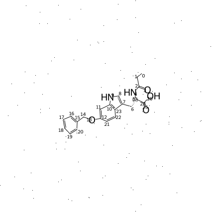 CCC(=O)N[C@@H](Cc1c[nH]c2cc(OCc3ccccc3)ccc12)C(=O)O